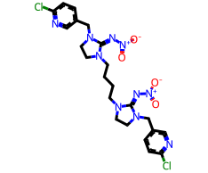 O=[N+]([O-])N=C1N(CCCCN2CCN(Cc3ccc(Cl)nc3)C2=N[N+](=O)[O-])CCN1Cc1ccc(Cl)nc1